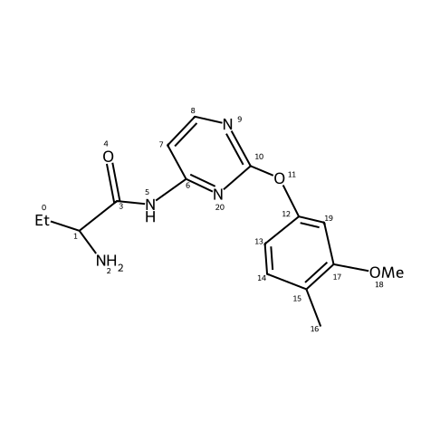 CCC(N)C(=O)Nc1ccnc(Oc2ccc(C)c(OC)c2)n1